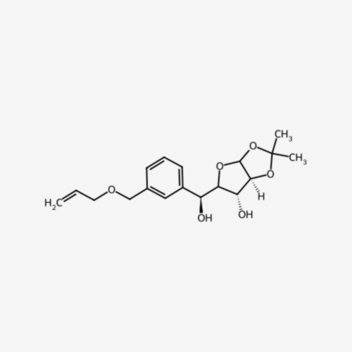 C=CCOCc1cccc([C@H](O)C2OC3OC(C)(C)O[C@H]3[C@@H]2O)c1